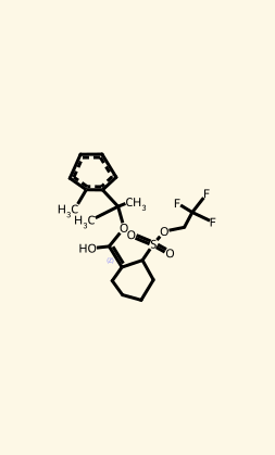 Cc1ccccc1C(C)(C)O/C(O)=C1/CCCCC1S(=O)(=O)OCC(F)(F)F